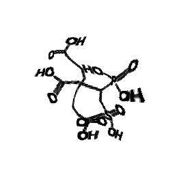 O=C(O)CC(CC(=O)O)(C(=O)O)C(P(=O)(O)O)S(=O)(=O)O